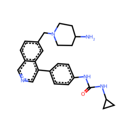 NC1CCN(Cc2ccc3cncc(-c4ccc(NC(=O)NC5CC5)cc4)c3c2)CC1